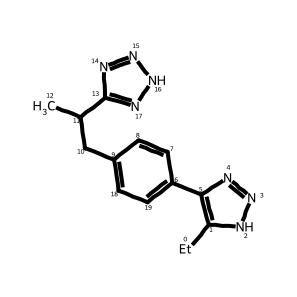 CCc1[nH]nnc1-c1ccc(CC(C)c2nn[nH]n2)cc1